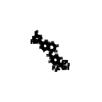 Cc1n[nH]c(-c2ccc3c(c2)CCCN3Cc2ccc(C(O)(C(F)(F)F)C(F)(F)F)cc2)n1